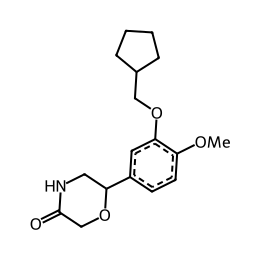 COc1ccc(C2CNC(=O)CO2)cc1OCC1CCCC1